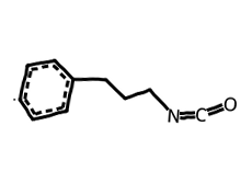 O=C=NCCCc1cc[c]cc1